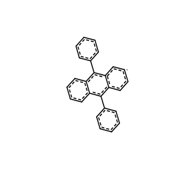 [c]1ccc2c(-c3ccccc3)c3ccccc3c(-c3ccccc3)c2c1